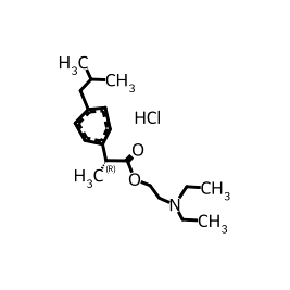 CCN(CC)CCOC(=O)[C@H](C)c1ccc(CC(C)C)cc1.Cl